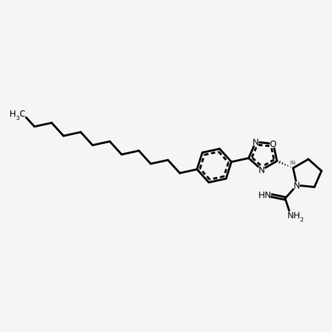 CCCCCCCCCCCCc1ccc(-c2noc([C@@H]3CCCN3C(=N)N)n2)cc1